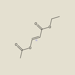 CCOC(=O)/C=C/OC(C)=O